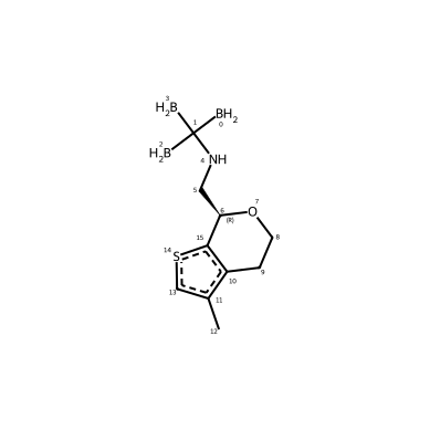 BC(B)(B)NC[C@H]1OCCc2c(C)csc21